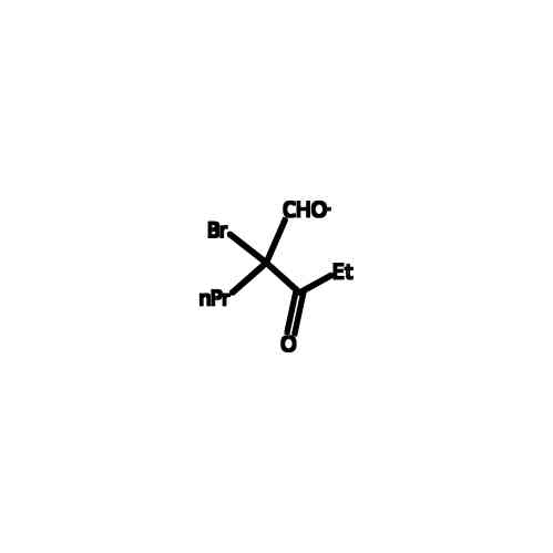 CCCC(Br)([C]=O)C(=O)CC